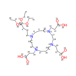 CCO[Si](CCCN1CCCN(CCC(=O)O)CCN(CCC(=O)O)CCCN(CCC(=O)O)CC1)(OCC)OCC